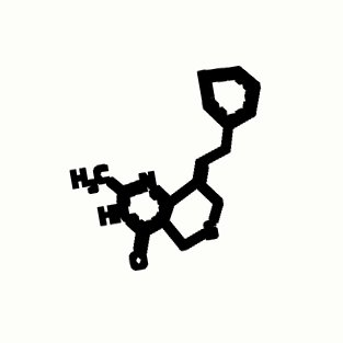 Cc1nc2c(c(=O)[nH]1)CSCC2=CCc1ccccc1